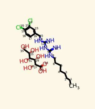 CCCCCCCCNC(=N)NC(=N)NCc1ccc(Cl)c(Cl)c1.O=C(O)[C@H](O)[C@@H](O)[C@H](O)[C@H](O)CO